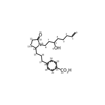 C=CCCCC(O)CCN1C(=O)CSC1CCCc1ccc(C(=O)O)cc1